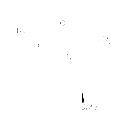 CS[C@@H]1C[C@@H](C(=O)O)N(C(=O)OC(C)(C)C)C1